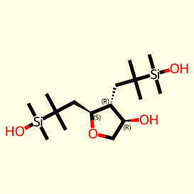 CC(C)(C[C@H]1[C@H](CC(C)(C)[Si](C)(C)O)OC[C@@H]1O)[Si](C)(C)O